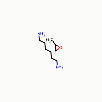 CC1CO1.NCCCCCCN